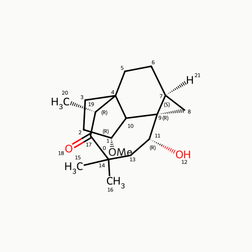 CO[C@@H]1CCC23CC[C@H]4C[C@@]4(C12)[C@H](O)CC(C)(C)C(=O)[C@@H]3C